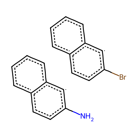 Brc1[c]c2ccccc2cc1.Nc1[c]c2ccccc2cc1